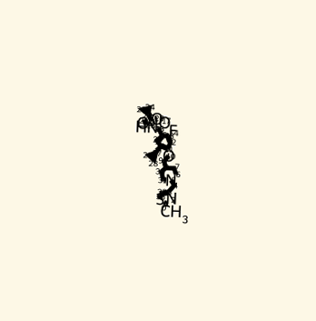 Cc1nc(CN2CCC(COc3cc(F)c(C(=O)NS(=O)(=O)C4CC4)cc3C3CC3)CC2)cs1